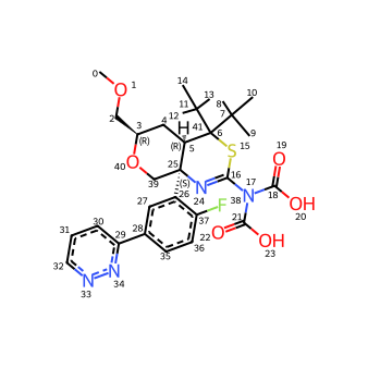 COC[C@H]1C[C@H]2C(C(C)(C)C)(C(C)(C)C)SC(N(C(=O)O)C(=O)O)=N[C@@]2(c2cc(-c3cccnn3)ccc2F)CO1